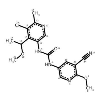 COc1ncc(NC(=O)Nc2cnc(C)c(Cl)c2C(C)OC)cc1C#N